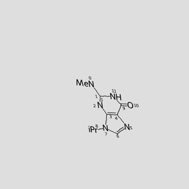 CNc1nc2c(ncn2C(C)C)c(=O)[nH]1